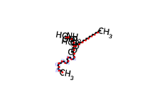 CC/C=C\C/C=C\C/C=C\C/C=C\C/C=C\C/C=C\CCC(=O)OC[C@H](COP(=O)(O)OC[C@H](N)C(=O)O)OC(=O)CCCCCCCCCCCCCCC